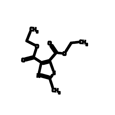 CCOC(=O)c1nc(C)sc1C(=O)OCC